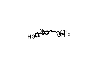 CC(O)CCCC=Cc1ccc2cc(-c3ccc(O)cc3)ncc2c1